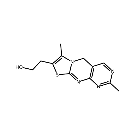 CC1=C(CCO)SC2=Nc3nc(C)ncc3CN21